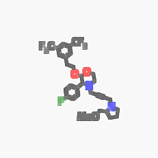 COC[C@@H]1CCCN1CC#CCN1CCOC(OCCc2cc(C(F)(F)F)cc(C(F)(F)F)c2)C1c1ccc(F)cc1